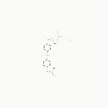 CC(C)(C)CC(F)(F)CN1C(=O)c2ccc(C(c3ccc4c(c3)C(=O)N(C(C)(C)C)C4=O)(C(F)(F)F)C(F)(F)F)cc2C1=O